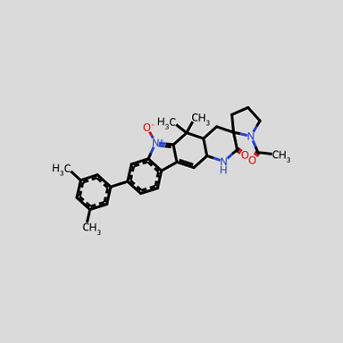 CC(=O)N1CCCC12CC1C(C=C3C(=[N+]([O-])c4cc(-c5cc(C)cc(C)c5)ccc43)C1(C)C)NC2=O